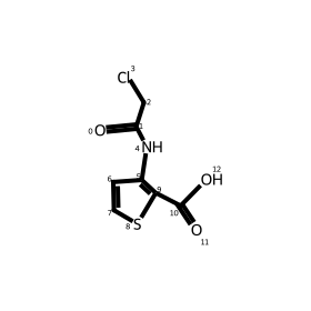 O=C(CCl)Nc1ccsc1C(=O)O